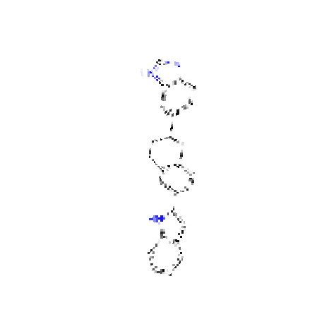 c1ccc2[nH]c(-c3ccc4c(c3)CCC(c3ccc5nc[nH]c5c3)C4)cc2c1